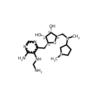 CN1CCC(N(C)C[C@H]2O[C@@H](Cc3ncnc(N)c3NCN)[C@H](O)[C@@H]2O)C1